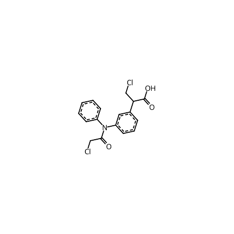 O=C(O)C(CCl)c1cccc(N(C(=O)CCl)c2ccccc2)c1